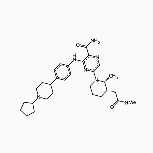 CNC(=O)C[C@@H]1CCCN(c2cnc(C(N)=O)c(Nc3ccc(C4CCN(C5CCCC5)CC4)cc3)n2)[C@H]1C